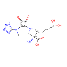 CN(c1nnn[nH]1)c1c(N2C[C@H](CCCB(O)O)[C@](N)(C(=O)O)C2)c(=O)c1=O